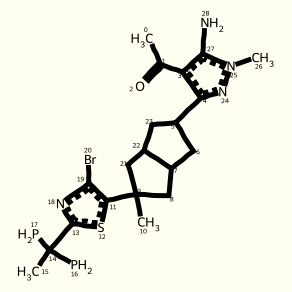 CC(=O)c1c(C2CC3CC(C)(c4sc(C(C)(P)P)nc4Br)CC3C2)nn(C)c1N